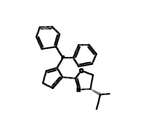 CC(C)[C@H]1COC(C2=CCC=C2P(c2ccccc2)c2ccccc2)=N1